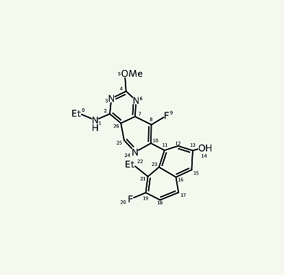 CCNc1nc(OC)nc2c(F)c(-c3cc(O)cc4ccc(F)c(CC)c34)ncc12